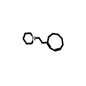 C1=CCCCCCC(CCN2CCCCC2)=C1